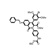 COC(=O)c1c(-c2cc(OC)c(Br)c(OC)c2)c2ccc(OCc3ccccc3)cc2c(=O)n1-c1ccc(NC(=O)OC(C)(C)C)cc1